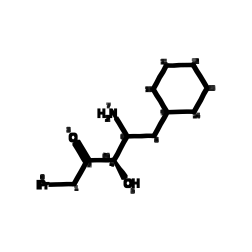 CC(C)CC(=O)[C@H](O)C(N)CC1CCCCC1